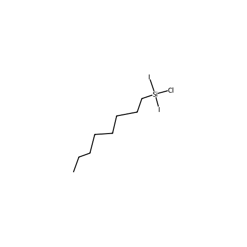 CCCCCCCC[Si](Cl)(I)I